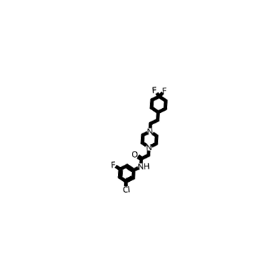 O=C(CN1CCN(CCC2CCC(F)(F)CC2)CC1)Nc1cc(F)cc(Cl)c1